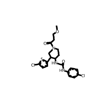 COCCC(=O)N1CCC(NC(=O)Nc2ccc(Cl)cc2)C(c2ccc(Cl)s2)C1